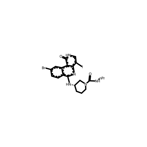 CCCNC(=O)N1CCC[C@H](Nc2nc3c(I)c[nH]c(=O)c3c3cc(Br)ccc23)C1